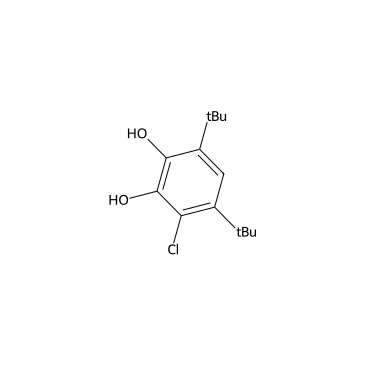 CC(C)(C)c1cc(C(C)(C)C)c(Cl)c(O)c1O